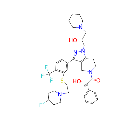 O=C([C@@H](O)c1ccccc1)N1CCc2c(c(-c3ccc(C(F)(F)F)c(SCCN4CCC(F)CC4)c3)nn2CC(O)CN2CCCCC2)C1